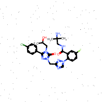 CC(C)(N)CNC(=O)c1cc(F)ccc1-n1cnc(Cn2nc(-c3ccc(Cl)cc3)n(CC(O)C(F)(F)F)c2=O)n1